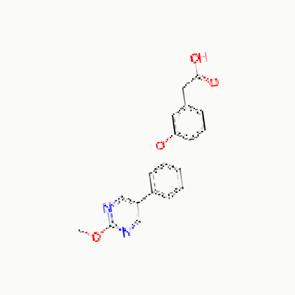 COc1ncc(-c2cccc(Oc3cccc(CC(=O)O)c3)c2)cn1